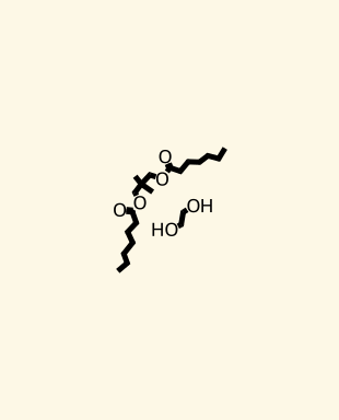 CCCCCCC(=O)OCC(C)(C)COC(=O)CCCCCC.OCCO